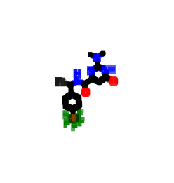 CCC(NC(=O)c1cc(=O)[nH]c(N(C)C)n1)c1ccc(S(F)(F)(F)(F)F)cc1